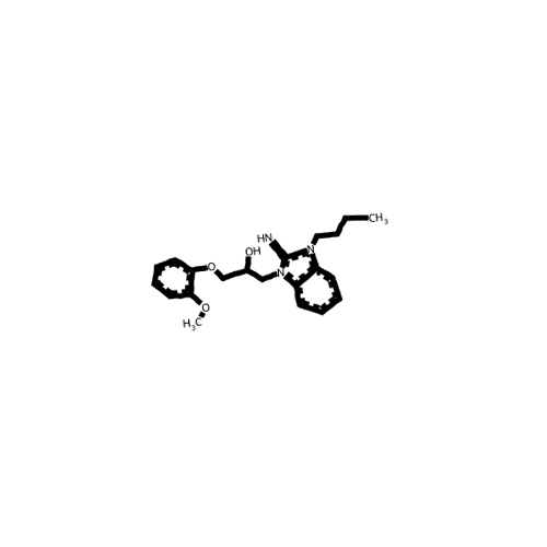 CCCCn1c(=N)n(CC(O)COc2ccccc2OC)c2ccccc21